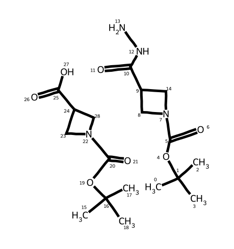 CC(C)(C)OC(=O)N1CC(C(=O)NN)C1.CC(C)(C)OC(=O)N1CC(C(=O)O)C1